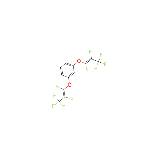 FC(Oc1cccc(OC(F)=C(F)C(F)(F)F)c1)=C(F)C(F)(F)F